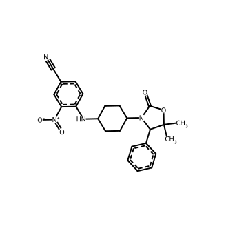 CC1(C)OC(=O)N(C2CCC(Nc3ccc(C#N)cc3[N+](=O)[O-])CC2)C1c1ccccc1